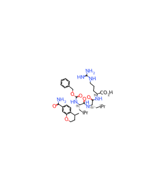 CC(C)C[C@H](NC(=O)OCc1ccccc1)C(=O)N[C@@H](CC(C)C)C(=O)N[C@@H](CCCNC(=N)N)C(=O)O.CC1CCOc2cc(C(N)=O)ccc21